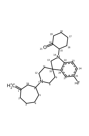 C=C1CCCCC(N2CCC3(CC2)CN(C2CCCCC2=O)c2ccc(F)cc23)C1